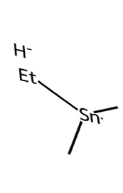 C[CH2][Sn]([CH3])[CH3].[H-]